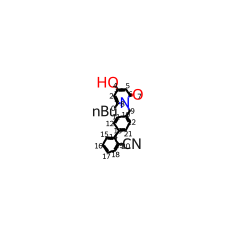 CCCCc1cc(O)cc(=O)n1Cc1ccc(-c2ccccc2C#N)cc1